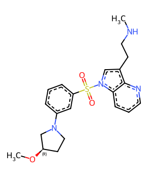 CNCCc1cn(S(=O)(=O)c2cccc(N3CC[C@@H](OC)C3)c2)c2cccnc12